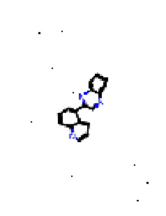 [c]1cnc2cccc(-c3cnc4ccccc4n3)c2c1